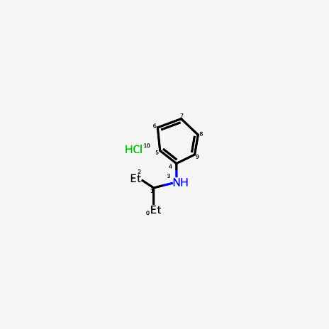 CCC(CC)Nc1ccccc1.Cl